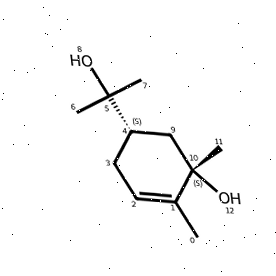 CC1=CC[C@H](C(C)(C)O)C[C@]1(C)O